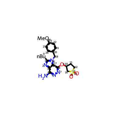 CCCCc1nc2c(N)nnc(OC3CCS(=O)(=O)C3)c2n1Cc1ccc(OC)cc1